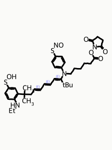 CCNc1ccc(SO)cc1C(C)(C)C/C=C/C=C/C=C(/N(CCCCCC(=O)ON1C(=O)CCC1=O)c1ccc(SN=O)cc1)C(C)(C)C